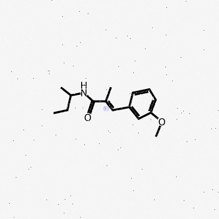 CCC(C)NC(=O)/C(C)=C/c1cccc(OC)c1